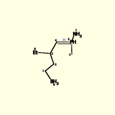 BCCC(/C=[PH](\C)N)CC